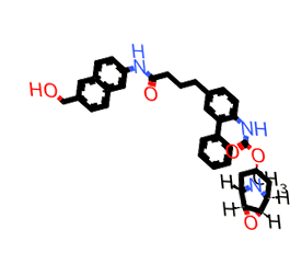 CN1[C@H]2C[C@H](OC(=O)Nc3ccc(CCCC(=O)Nc4ccc5cc(CO)ccc5c4)cc3-c3ccccc3)C[C@H]1[C@H]1O[C@H]12